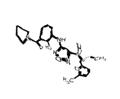 CC[C@@H](Nc1nonc1Nc1cccc(C(=O)N2CCCC2)c1O)c1ccc(C)o1